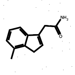 Cc1cccc2c1CC=C2CC(N)=O